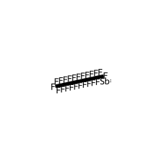 FC(F)(F)C(F)(F)C(F)(F)C(F)(F)C(F)(F)C(F)(F)C(F)(F)C(F)(F)C(F)(F)C(F)(F)[C](F)(F)[Sb]